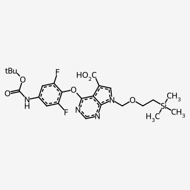 CC(C)(C)OC(=O)Nc1cc(F)c(Oc2ncnc3c2c(C(=O)O)cn3COCC[Si](C)(C)C)c(F)c1